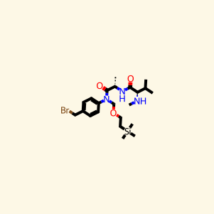 CN[C@H](C(=O)N[C@@H](C)C(=O)N(COCC[Si](C)(C)C)c1ccc(CBr)cc1)C(C)C